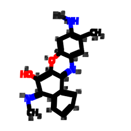 CCNc1cc2oc3c(O)/c(=N/C)c4ccccc4c-3nc2cc1C